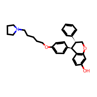 Oc1ccc2c(c1)OC[C@@H](c1ccccc1)[C@@H]2c1ccc(OCCCCCN2CCCC2)cc1